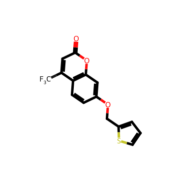 O=c1cc(C(F)(F)F)c2ccc(OCc3cccs3)cc2o1